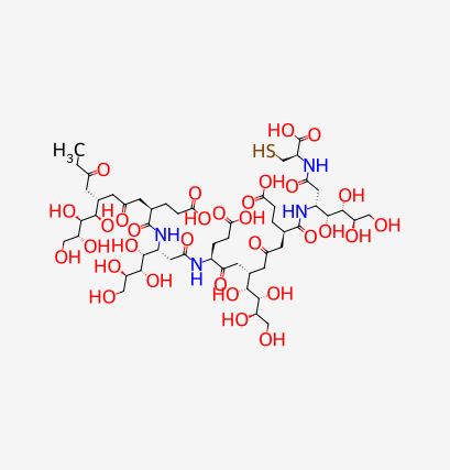 CCC(=O)C[C@H](CC(=O)C[C@@H](CCC(=O)O)C(=O)N[C@H](CC(=O)N[C@@H](CCC(=O)O)C(=O)C[C@H](CC(=O)C[C@@H](CCC(=O)O)C(=O)N[C@H](CC(=O)N[C@@H](CS)C(=O)O)[C@@H](O)[C@H](O)[C@H](O)CO)[C@@H](O)[C@H](O)[C@H](O)CO)[C@@H](O)[C@H](O)[C@H](O)CO)[C@@H](O)[C@H](O)[C@H](O)CO